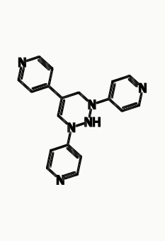 C1=C(c2ccncc2)CN(c2ccncc2)NN1c1ccncc1